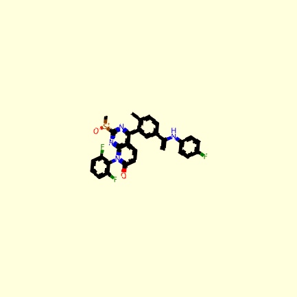 C=C(Nc1ccc(F)cc1)c1ccc(C)c(-c2nc([S+](C)[O-])nc3c2ccc(=O)n3-c2c(F)cccc2F)c1